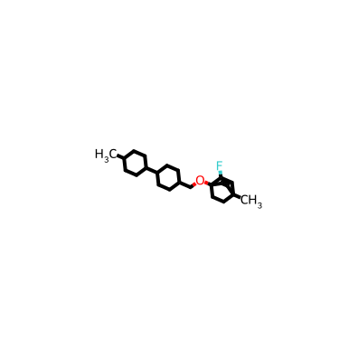 CC1CCC(C2CCC(COC34CCC(C)(C=C3F)CC4)CC2)CC1